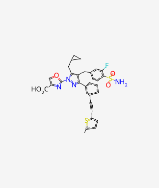 Cc1ccc(C#Cc2cccc(-c3nn(-c4nc(C(=O)O)co4)c(CC4CC4)c3Cc3ccc(S(N)(=O)=O)c(F)c3)c2)s1